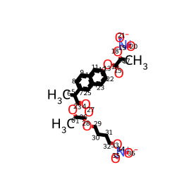 CC(OC(=O)C(C)c1ccc2cc(OC(=O)C(C)O[N+](=O)[O-])ccc2c1)C(=O)OCCCCO[N+](=O)[O-]